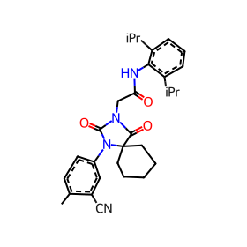 Cc1ccc(N2C(=O)N(CC(=O)Nc3c(C(C)C)cccc3C(C)C)C(=O)C23CCCCC3)cc1C#N